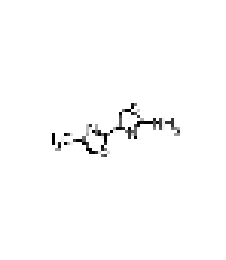 Cc1csc(-c2csc(N)n2)n1